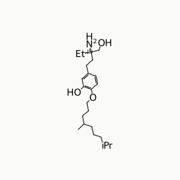 CC[C@@](N)(CO)CCc1ccc(OCCCC(C)CCCC(C)C)c(O)c1